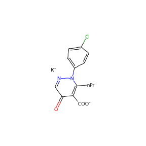 CCCc1c(C(=O)[O-])c(=O)cnn1-c1ccc(Cl)cc1.[K+]